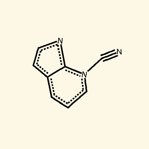 N#Cn1cccc2ccnc1-2